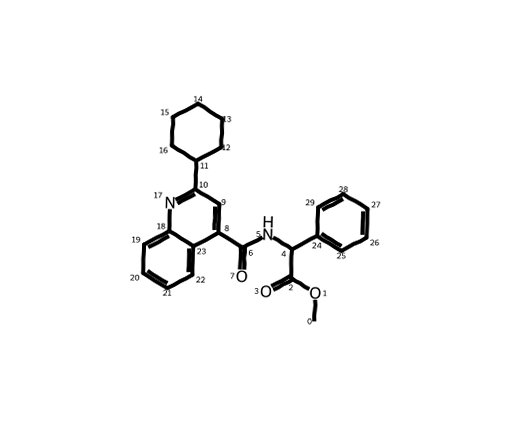 COC(=O)C(NC(=O)c1cc(C2CCCCC2)nc2ccccc12)c1ccccc1